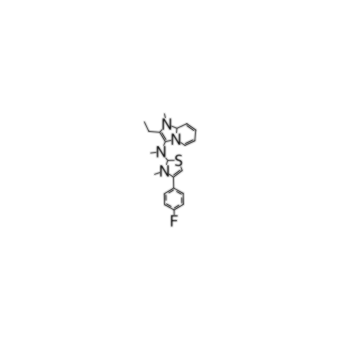 CCC1=C(N(C)C2SC=C(c3ccc(F)cc3)N2C)N2C=CC=CC2N1C